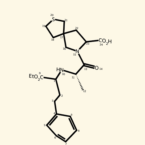 CCOC(=O)C(CCc1ccccc1)N[C@@H](C)C(=O)N1CC2(CCSC2)CC1C(=O)O